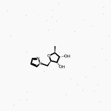 C[C@@H]1O[C@H](Cn2cccn2)[C@@H](O)[C@H]1O